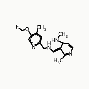 CNC1C=CN=C(C)/C1=C/NCc1cc(C)c(OCF)cn1